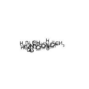 CCC(C(=O)O)N1C(=O)c2ccc(-c3ccc(NC(=O)c4ccc(C)cc4)cc3)cc2C1C